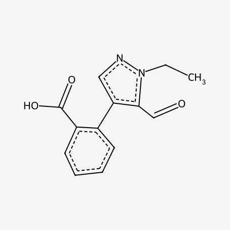 CCn1ncc(-c2ccccc2C(=O)O)c1C=O